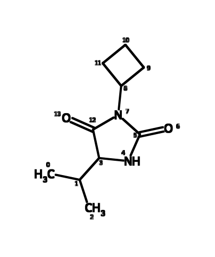 CC(C)C1NC(=O)N(C2CCC2)C1=O